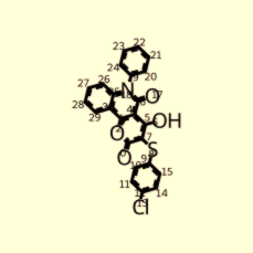 O=c1oc2c(c(O)c1Sc1ccc(Cl)cc1)c(=O)n(-c1ccccc1)c1ccccc21